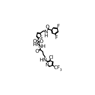 O=C(CCCNc1ncc(C(F)(F)F)cc1Cl)NNS(=O)(=O)c1ccc(CNC(=O)c2cc(F)cc(F)c2)s1